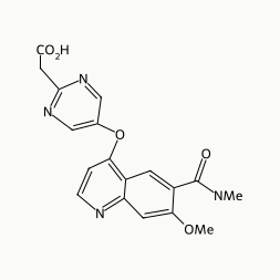 CNC(=O)c1cc2c(Oc3cnc(CC(=O)O)nc3)ccnc2cc1OC